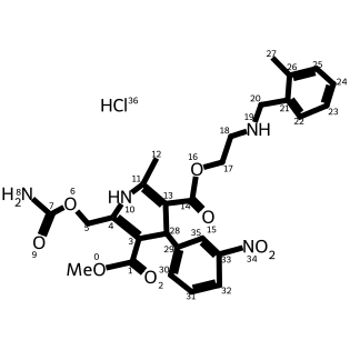 COC(=O)C1=C(COC(N)=O)NC(C)=C(C(=O)OCCNCc2ccccc2C)C1c1cccc([N+](=O)[O-])c1.Cl